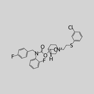 O=C(O[C@H]1C[N+]2(CCSc3cccc(Cl)c3)CCC1CC2)N(Cc1ccc(F)cc1)c1ccccc1F